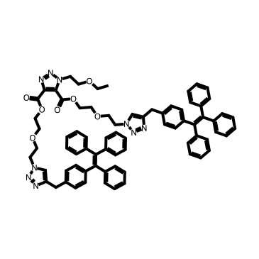 CCOCCn1nnc(C(=O)OCCOCCn2cc(Cc3ccc(C(=C(c4ccccc4)c4ccccc4)c4ccccc4)cc3)nn2)c1C(=O)OCCOCCn1cc(Cc2ccc(C(=C(c3ccccc3)c3ccccc3)c3ccccc3)cc2)nn1